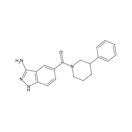 Nc1n[nH]c2ccc(C(=O)N3CCCC(c4ccccc4)C3)cc12